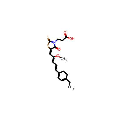 CCC1=CC=C(/C=C/C=C(/C=C2/SC(=S)N(CCC(=O)O)C2=O)OC)CC1